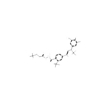 O=C(CCC(F)(F)F)NNC(=O)c1ccc(/C(F)=C/C(c2cc(Cl)c(Br)c(Cl)c2)C(F)(F)F)cc1C(F)(F)F